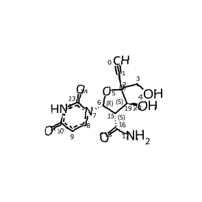 C#C[C@]1(CO)O[C@@H](n2ccc(=O)[nH]c2=O)[C@@H](C(N)=O)[C@@H]1O